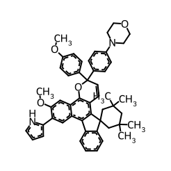 COc1ccc(C2(c3ccc(N4CCOCC4)cc3)C=Cc3c4c(c5cc(-c6ccc[nH]6)c(OC)cc5c3O2)-c2ccccc2C42CC(C)(C)CC(C)(C)C2)cc1